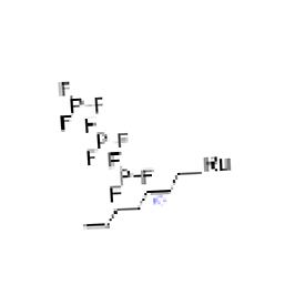 C=CCC/C=C/CC.FP(F)F.FP(F)F.FP(F)F.[Ru]